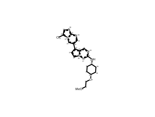 COCCO[C@H]1CC[C@@H](Nc2ncc3c(-c4cnc5ncc(Cl)n5c4)ccn3n2)CC1